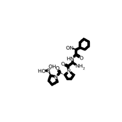 NC(NC(=O)[C@@H](N=O)C1CCCCC1)C(=O)N1CCC[C@@H]1C(=O)N1CCC[C@H]1B(O)O